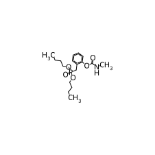 CCCCOP(=O)(Cc1ccccc1OC(=O)NC)OCCCC